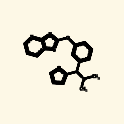 CN(C)C(c1cccc(Oc2nc3ncccc3s2)c1)c1ccco1